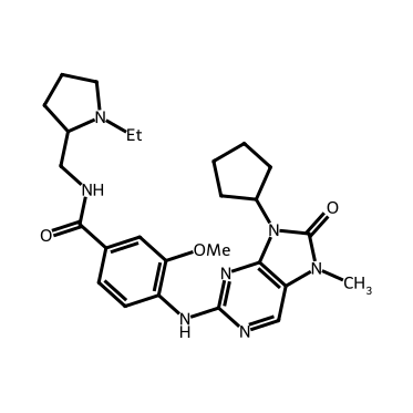 CCN1CCCC1CNC(=O)c1ccc(Nc2ncc3c(n2)n(C2CCCC2)c(=O)n3C)c(OC)c1